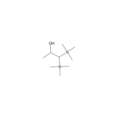 CC(O)C([Si](C)(C)C)[Si](C)(C)C